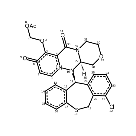 CC(=O)OCOc1c2n(ccc1=O)N([C@@H]1c3ccccc3SCc3c(Cl)cccc31)[C@@H]1COCCN1C2=O